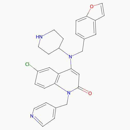 O=c1cc(N(Cc2ccc3occc3c2)C2CCNCC2)c2cc(Cl)ccc2n1Cc1ccncc1